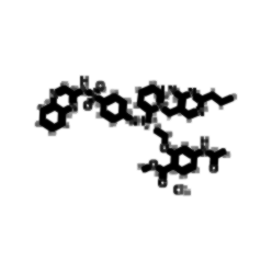 CCCc1ncc(C[n+]2ccccc2C)c(N)n1.CCOc1cc(NC(C)=O)ccc1C(=O)OC.Nc1ccc(S(=O)(=O)Nc2cnc3ccccc3n2)cc1.[Cl-]